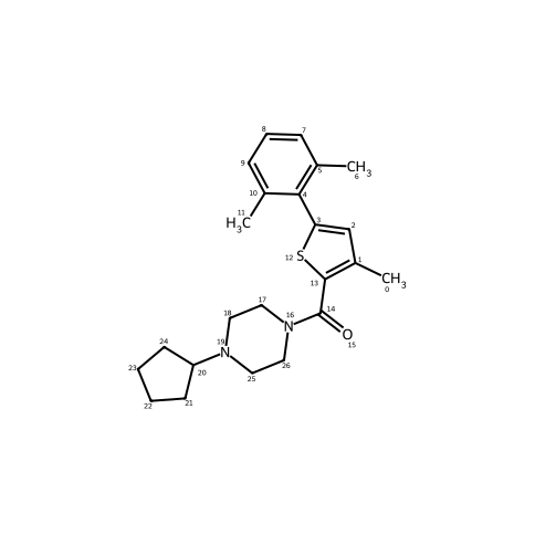 Cc1cc(-c2c(C)cccc2C)sc1C(=O)N1CCN(C2CCCC2)CC1